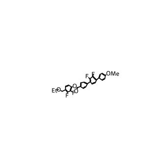 CCOCc1ccc(OC(=O)c2ccc(-c3ccc(-c4ccc(OC)cc4)c(F)c3F)cc2)c(F)c1F